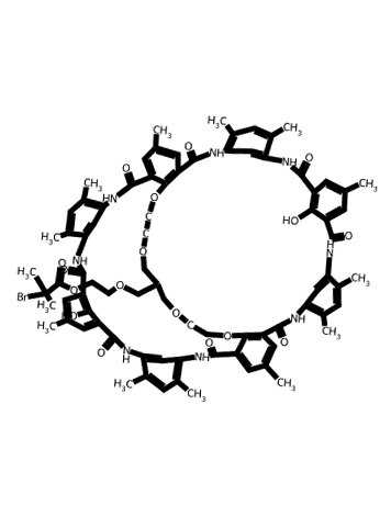 Cc1cc2c(O)c(c1)C(=O)Nc1cc(c(C)cc1C)NC(=O)c1cc(C)cc3c1OCCOCC(COCCOC(=O)C(C)(C)Br)COCCOc1c(cc(C)cc1C(=O)Nc1cc(c(C)cc1C)NC(=O)c1cc(C)cc(c1O)C(=O)Nc1cc(c(C)cc1C)NC3=O)C(=O)Nc1cc(c(C)cc1C)NC2=O